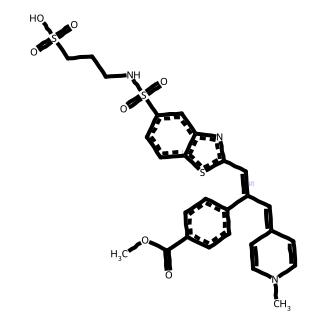 COC(=O)c1ccc(/C(C=C2C=CN(C)C=C2)=C\c2nc3cc(S(=O)(=O)NCCCS(=O)(=O)O)ccc3s2)cc1